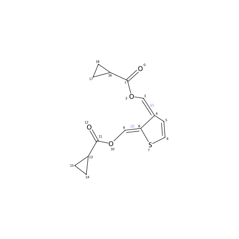 O=C(O/C=c1/ccs/c1=C\OC(=O)C1CC1)C1CC1